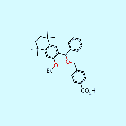 CCOc1cc2c(cc1C(OCc1ccc(C(=O)O)cc1)c1ccccc1)C(C)(C)CCC2(C)C